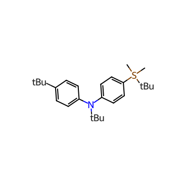 CC(C)(C)c1ccc(N(c2ccc(S(C)(C)C(C)(C)C)cc2)C(C)(C)C)cc1